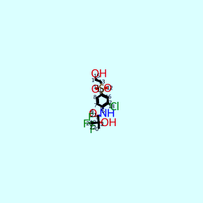 CC(O)(C(=O)Nc1ccc(S(=O)(=O)CCO)cc1Cl)C(F)(F)F